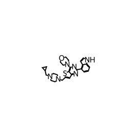 c1cc(-c2nc(N3CCOCC3)c3sc(CN4CCN(CC5CC5)CC4)cc3n2)c2cc[nH]c2c1